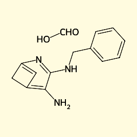 Nc1c2cc(nc1NCc1ccccc1)C2.O=CO